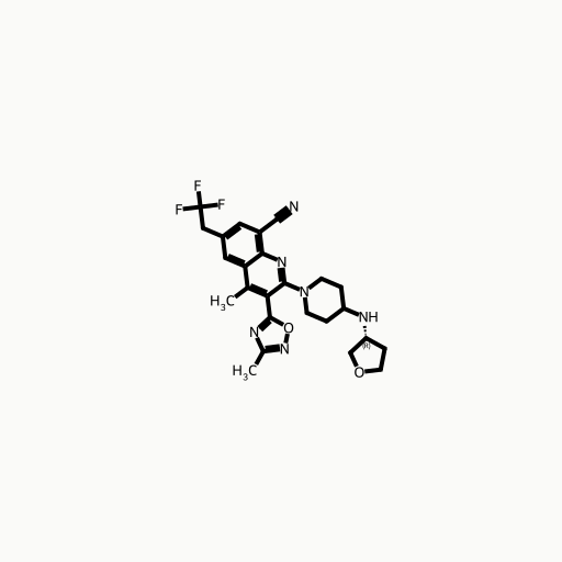 Cc1noc(-c2c(N3CCC(N[C@@H]4CCOC4)CC3)nc3c(C#N)cc(CC(F)(F)F)cc3c2C)n1